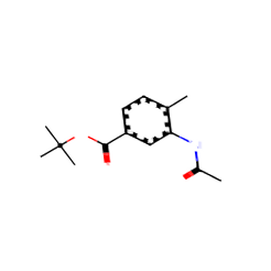 CC(=O)Nc1cc(C(=O)OC(C)(C)C)ccc1C